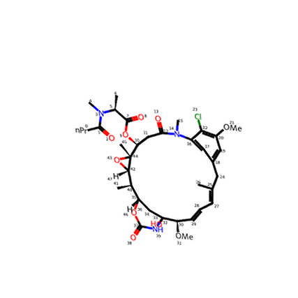 CCCC(=O)N(C)[C@@H](C)C(=O)O[C@H]1CC(=O)N(C)c2cc(cc(OC)c2Cl)C/C(C)=C/C=C/[C@@H](OC)[C@@]2(O)C[C@H](OC(=O)N2)[C@@H](C)[C@@H]2O[C@]12C